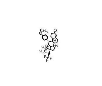 COc1ccc([C@H]2C[C@@]3(C)[C@@H](CC[C@]3(C#CC(F)(F)F)C(C)=O)[C@@H]3CCC4=CC(=O)CCC4=C32)cc1